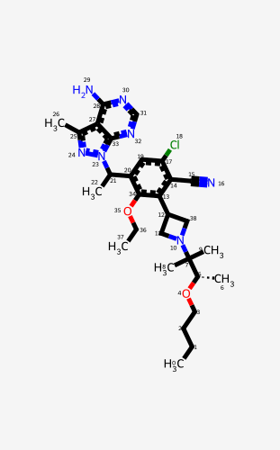 CCCCO[C@@H](C)C(C)(C)N1CC(c2c(C#N)c(Cl)cc(C(C)n3nc(C)c4c(N)ncnc43)c2OCC)C1